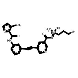 Cc1ccoc1C(=O)Nc1cccc(C#Cc2cncc(C(=O)N=[SH](C)(O)CCCO)c2)c1